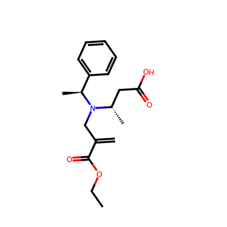 C=C(CN([C@@H](C)CC(=O)O)[C@@H](C)c1ccccc1)C(=O)OCC